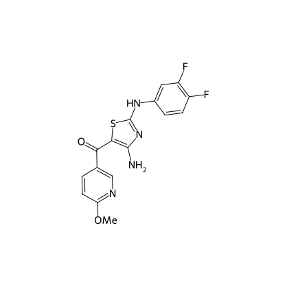 COc1ccc(C(=O)c2sc(Nc3ccc(F)c(F)c3)nc2N)cn1